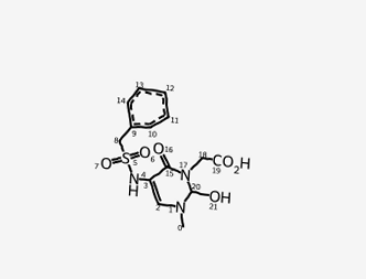 CN1C=C(NS(=O)(=O)Cc2ccccc2)C(=O)N(CC(=O)O)C1O